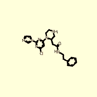 O=C(CC1CNCCN1c1cc(Cl)nc(-n2ccnc2)n1)NCCc1ccccc1